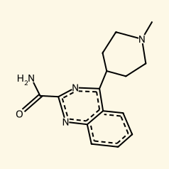 CN1CCC(c2nc(C(N)=O)nc3ccccc23)CC1